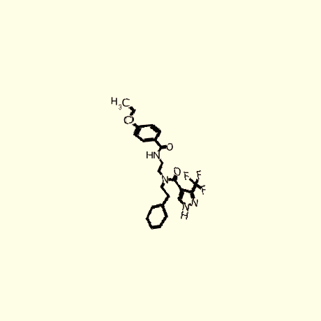 CCOc1ccc(C(=O)NCCN(CCC2CCCCC2)C(=O)c2c[nH]nc2C(F)(F)F)cc1